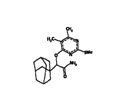 CSc1nc(C)c(C)c(OC(C(N)=O)C23CC4CC(CC(C4)C2)C3)n1